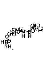 CSSC(COc1cccc(C(=O)NCCN)c1)OCCOCC(=O)NCC#CB[C@H]1C[C@@H](O[N+](=O)[O-])C(CO)O1